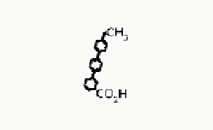 C=Cc1ccc(-c2ccc(-c3cccc(C(=O)O)c3)cc2)cc1